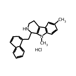 Cc1ccc2c(c1)c1c(n2C)C(Cc2cccc3ccccc23)NCC1.Cl